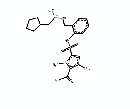 Cc1cc(S(=O)(=O)Nc2ccccc2CN[C@@H](C)CC2CCCC2)n(C)c1C(=O)O